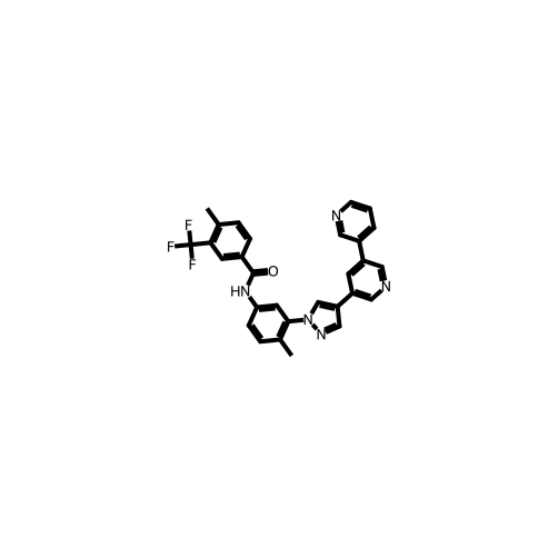 Cc1ccc(NC(=O)c2ccc(C)c(C(F)(F)F)c2)cc1-n1cc(-c2cncc(-c3cccnc3)c2)cn1